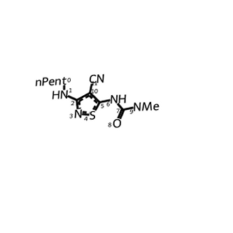 CCCCCNc1nsc(NC(=O)NC)c1C#N